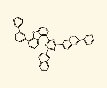 c1ccc(-c2cccc(-c3cccc4c3oc3cccc(-c5nc(-c6ccc7ccccc7c6)nc(-c6ccc7cc(-c8ccccc8)ccc7c6)n5)c34)c2)cc1